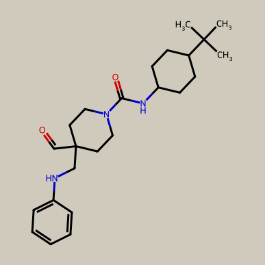 CC(C)(C)C1CCC(NC(=O)N2CCC(C=O)(CNc3ccccc3)CC2)CC1